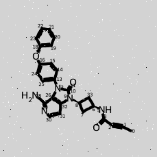 CC#CC(=O)N[C@H]1C[C@@H](n2c(=O)n(-c3ccc(Oc4ccccc4)cc3)c3c(N)nccc32)C1